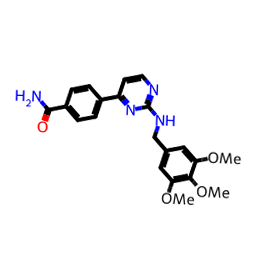 COc1cc(CNc2nccc(-c3ccc(C(N)=O)cc3)n2)cc(OC)c1OC